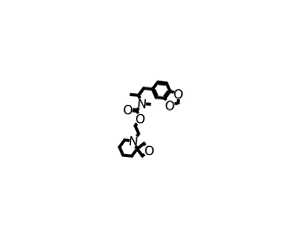 CC(Cc1ccc2c(c1)OCO2)N(C)C(=O)OCCN1CCCCC12COC2